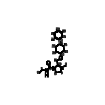 CCNC(=O)N1CC[C@H](C)C1CO[C@H]1CC[C@@H](c2ccccc2)CC1